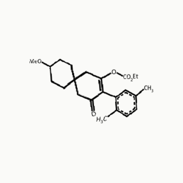 CCOC(=O)OC1=C(c2cc(C)ccc2C)C(=O)CC2(CCC(OC)CC2)C1